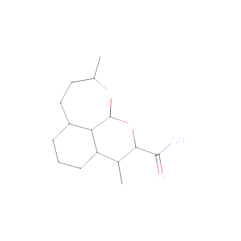 CC1CCC2CCCC3C(C)C(C(N)=O)OC(O1)C23